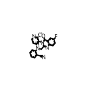 N#Cc1ccccc1NCc1nc2ccc(F)cc2c(=O)n1-c1cccnc1Cl